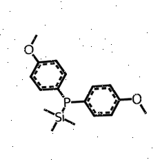 COc1ccc(P(c2ccc(OC)cc2)[Si](C)(C)C)cc1